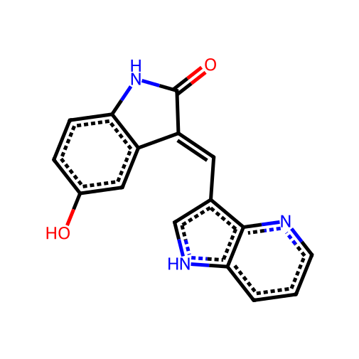 O=C1Nc2ccc(O)cc2/C1=C\c1c[nH]c2cccnc12